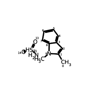 Cc1cc2ccccc2n1C.N[SH](=O)=O